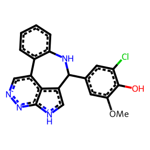 COc1cc(C2Nc3ccccc3-c3cnnc4[nH]cc2c34)cc(Cl)c1O